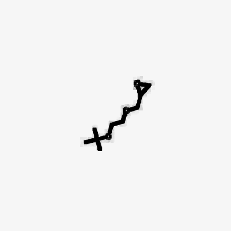 CC(C)(C)OCCOCC1CO1